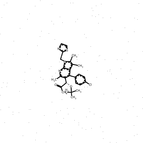 CC(=O)[C@@H](OC(C)(C)C)c1c(C)nc2c(c(C)c(C)n2Cc2nccs2)c1-c1ccc(Cl)cc1